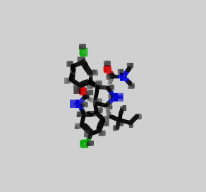 CCC(C)(C)C[C@H]1N[C@@H](C(=O)N(C)C)[C@H](c2cccc(Cl)c2)[C@@]12C(=O)Nc1cc(Cl)ccc12